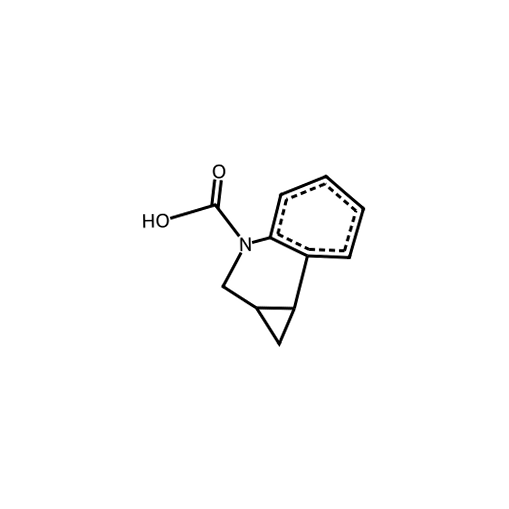 O=C(O)N1CC2CC2c2ccccc21